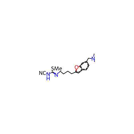 CS/C(=N\CCCCc1cc2ccc(CN(C)C)cc2o1)NC#N